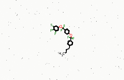 CCCCc1ccc(C(F)(F)Oc2ccc(C(F)(F)Oc3cc(F)c(F)c(F)c3)cc2)cc1